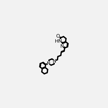 O=C1CCc2ccc(C=CCCCN3CCN(c4cccc5c4CCCC5)CC3)nc2N1